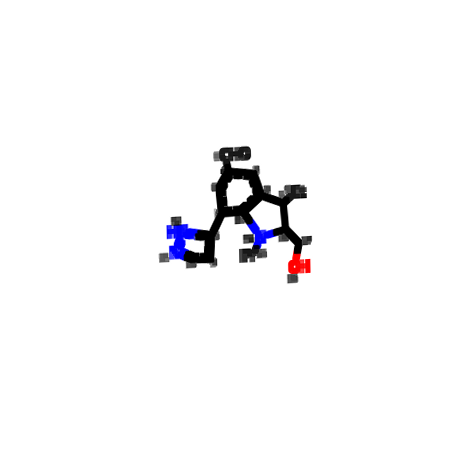 CCC1c2cc(C=O)cc(-c3ccn[nH]3)c2N(C(C)C)C1CO